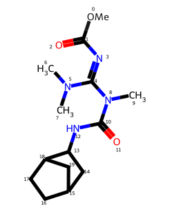 COC(=O)N=C(N(C)C)N(C)C(=O)NC1CC2CCC1C2